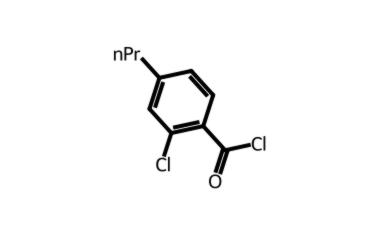 CCCc1ccc(C(=O)Cl)c(Cl)c1